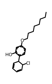 CCCCCCCCOc1ccc(C2C=CC=CC2Cl)c(O)c1